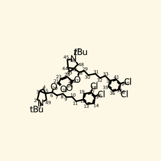 CC(C)(C)N1CC2CC2(C(CCCCCc2ccc(Cl)c(Cl)c2)OC(=O)/C=C\C(=O)OC(CCCCCc2ccc(Cl)c(Cl)c2)C23CC2CN(C(C)(C)C)C3)C1